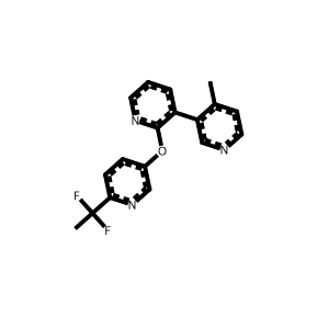 Cc1ccncc1-c1cccnc1Oc1ccc(C(C)(F)F)nc1